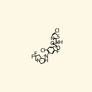 O=S(=O)(Nc1ncc(Cl)s1)c1cc(Cl)c(NC[C@]23CCCN2CC(F)(F)C3)cc1F